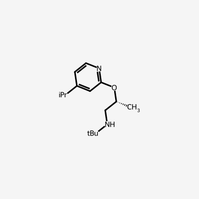 CC(C)c1ccnc(O[C@H](C)CNC(C)(C)C)c1